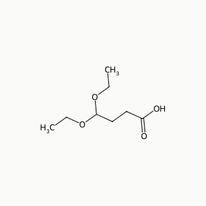 CCOC(CCC(=O)O)OCC